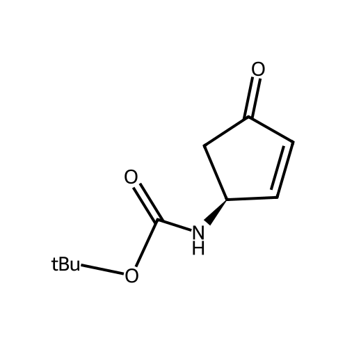 CC(C)(C)OC(=O)N[C@@H]1C=CC(=O)C1